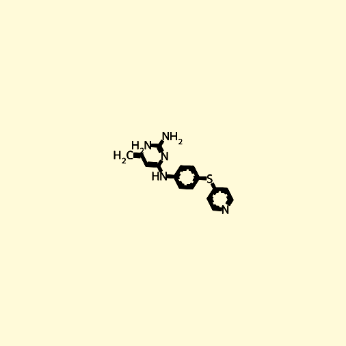 C=C/C=C(\N=C(N)N)Nc1ccc(Sc2ccncc2)cc1